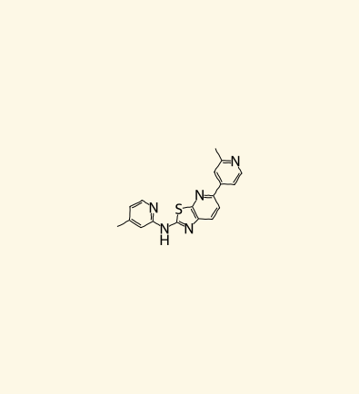 Cc1ccnc(Nc2nc3ccc(-c4ccnc(C)c4)nc3s2)c1